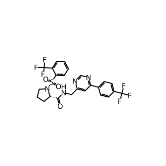 O=C(NCc1cc(-c2ccc(C(F)(F)F)cc2)ncn1)[C@@H]1CCCN1S(=O)(=O)c1ccccc1C(F)(F)F